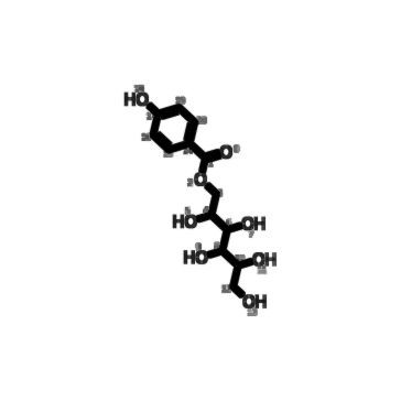 O=C(OCC(O)C(O)C(O)C(O)CO)c1ccc(O)cc1